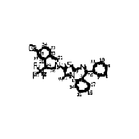 Cc1nc(N=C(c2ccccc2)c2ccccc2)sc1N1C=C2C=CC(=O)C=C2C(C(F)(F)F)C1